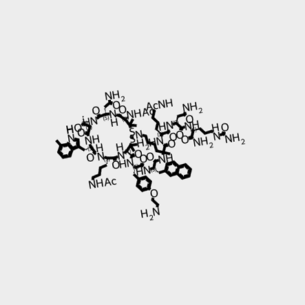 CC(=O)NCCCC[C@@H]1NC(=O)[C@H](Cc2c[nH]c3c(C)cccc23)NC(=O)[C@H]([C@@H](C)O)NC(=O)[C@H](CC(N)=O)NC(=O)[C@@H](NC(C)=O)C(C)(C)SSC(C)(C)[C@@H](C(=O)N[C@@H](Cc2ccc(OCCN)cc2)C(=O)N[C@@H](Cc2ccc3ccccc3c2)C(=O)NC(C)(CCCCN)C(=O)N[C@@H](CCCCNC(C)=O)C(=O)N[C@@H](CC(N)=O)C(=O)N[C@@H](CCCNC(N)=O)C(N)=O)NC1=O